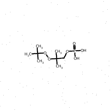 CC(C)(C)OOC(C)(C)COP(=O)(O)O